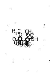 CCOc1cc(C(=O)O)c([N+](=O)[O-])c(C(C)c2cc(OCC)c(C(=O)O)cc2[N+](=O)[O-])c1